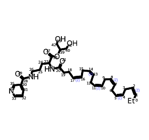 CC/C=C\C/C=C\C/C=C\C/C=C\C/C=C\C/C=C\CCC(=O)NC(CCCNC(=O)c1cccnc1)C(=O)OC(CO)CO